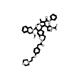 Cc1c(C(=O)Nc2ccccc2)c(-c2cnn(C(F)F)c2)c(-c2cc3c(cc2C(=O)N2Cc4ccccc4C[C@H]2CF)CN(C(=O)Cc2ccc(OCCN4CCOCC4)cc2)CC3)n1C